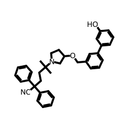 CC(C)(CCC(C#N)(c1ccccc1)c1ccccc1)N1CCC(OCc2cccc(-c3cccc(O)c3)c2)C1